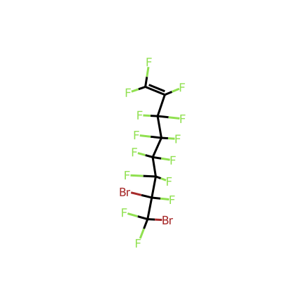 FC(F)=C(F)C(F)(F)C(F)(F)C(F)(F)C(F)(F)C(F)(Br)C(F)(F)Br